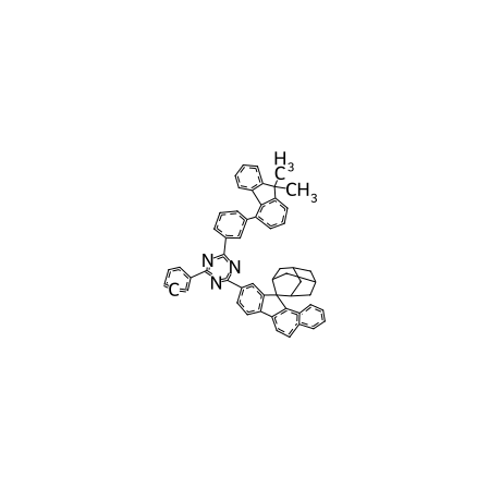 CC1(C)c2ccccc2-c2c(-c3cccc(-c4nc(-c5ccccc5)nc(-c5ccc6c(c5)C5(c7c-6ccc6ccccc76)C6CC7CC(C6)CC5C7)n4)c3)cccc21